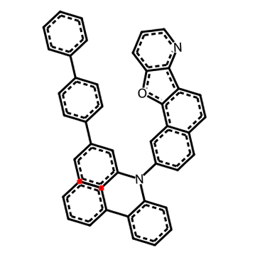 c1ccc(-c2ccc(-c3cccc(N(c4ccc5ccc6c7ncccc7oc6c5c4)c4ccccc4-c4ccccc4)c3)cc2)cc1